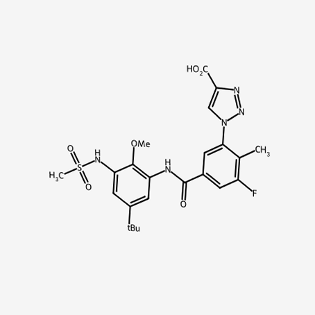 COc1c(NC(=O)c2cc(F)c(C)c(-n3cc(C(=O)O)nn3)c2)cc(C(C)(C)C)cc1NS(C)(=O)=O